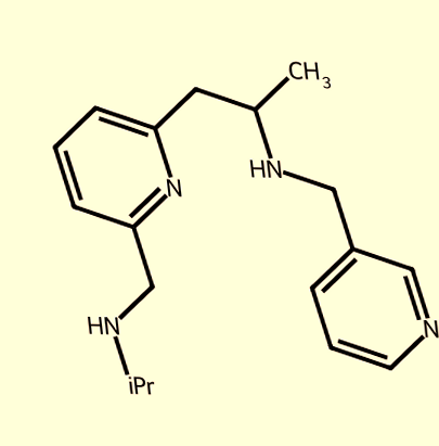 CC(C)NCc1cccc(CC(C)NCc2cccnc2)n1